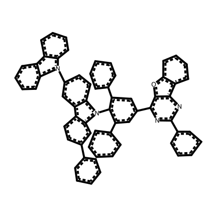 c1ccc(-c2ccc3c4cc(-n5c6ccccc6c6ccccc65)ccc4n(-c4c(-c5ccccc5)cc(-c5nc(-c6ccccc6)nc6c5oc5ccccc56)cc4-c4ccccc4)c3c2)cc1